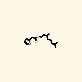 CC(C)=CCCC(C)CCOC(=O)Cc1cccs1